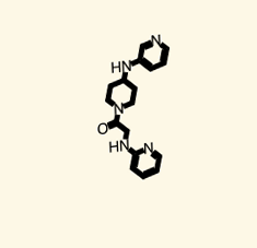 O=C(CNc1ccccn1)N1CCC(Nc2cccnc2)CC1